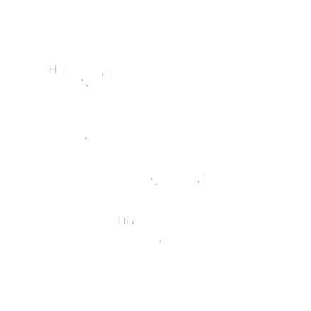 CN(C)[C@H]1CCN(c2ccc3[nH]c(=O)c(-c4cc5ccccc5[nH]4)nc3c2)C1